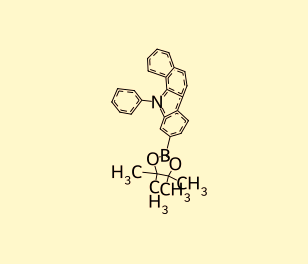 CC1(C)OB(c2ccc3c4ccc5ccccc5c4n(-c4ccccc4)c3c2)OC1(C)C